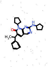 CC(c1ccccc1)c1cc2cnc(NC3CCCC3)nc2n(C2CCCC2)c1=O